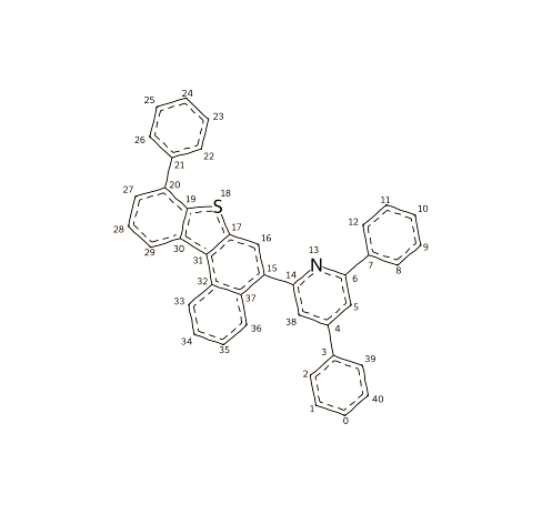 c1ccc(-c2cc(-c3ccccc3)nc(-c3cc4sc5c(-c6ccccc6)cccc5c4c4ccccc34)c2)cc1